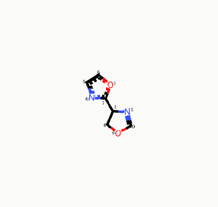 [C]1=NC(c2ncco2)CO1